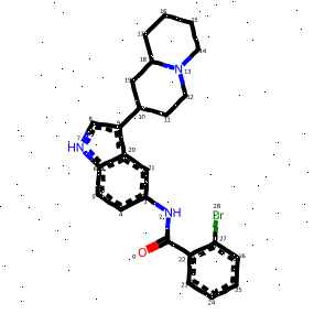 O=C(Nc1ccc2[nH]cc(C3CCN4CCCCC4C3)c2c1)c1ccccc1Br